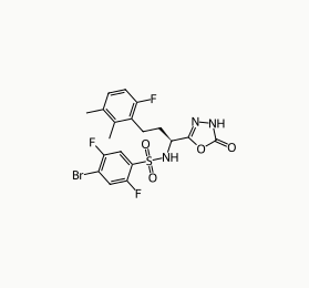 Cc1ccc(F)c(CC[C@H](NS(=O)(=O)c2cc(F)c(Br)cc2F)c2n[nH]c(=O)o2)c1C